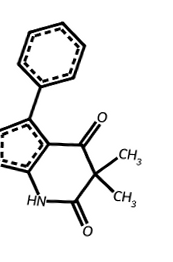 CC1(C)C(=O)Nc2scc(-c3ccccc3)c2C1=O